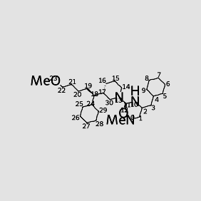 CNCC(CC1CCCCC1)NC(=O)N1CCC[C@@H]([C@H](CCCCOC)C2CCCCC2)C1